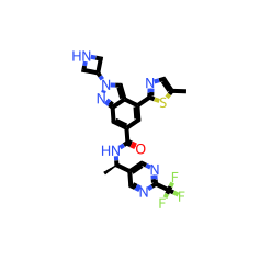 Cc1cnc(-c2cc(C(=O)N[C@H](C)c3cnc(C(F)(F)F)nc3)cc3nn(C4CNC4)cc23)s1